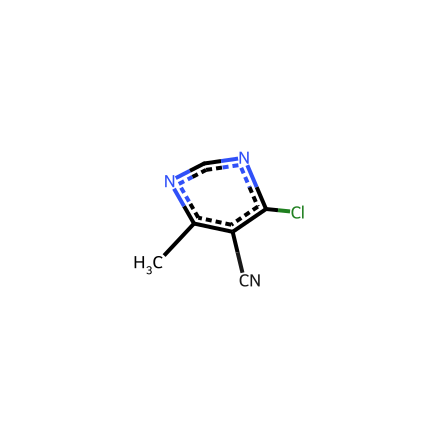 Cc1ncnc(Cl)c1C#N